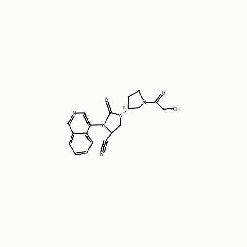 N#CC1CN([C@@H]2CCN(C(=O)CO)C2)C(=O)N1c1cncc2ccccc12